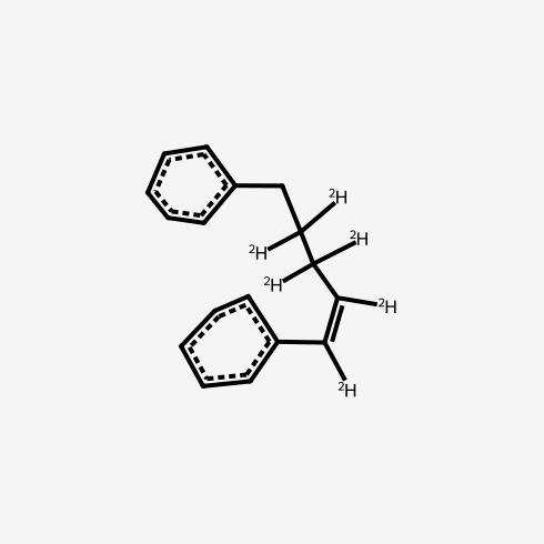 [2H]C(=C([2H])C([2H])([2H])C([2H])([2H])Cc1ccccc1)c1ccccc1